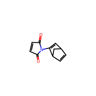 O=C1C=CC(=O)N1C1=CC2C=CC1C2